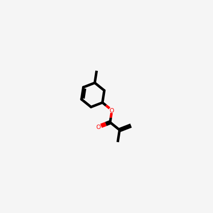 C=C(C)C(=O)OC1CC=CC(C)C1